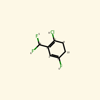 FC1=CC(C(F)F)=C(Cl)[CH]C1